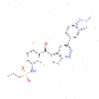 CCCS(=O)(=O)Nc1ccc(F)c(C(=O)c2c[nH]c3ncc(-c4ccc5nn(C)cc5c4)cc23)c1F